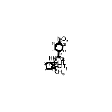 CC1(C)C2CCC(C2)C1(C)NC(=O)c1ccc([N+](=O)[O-])cc1